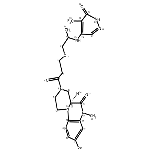 CC(COCCC(=O)N1CCN2c3ncc(C(F)(F)F)cc3N(C)C(=O)[C@@H]2C1)Nc1cn[nH]c(=O)c1C(F)(F)F